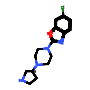 Clc1ccc2nc(N3CCN([C@H]4CCNC4)CC3)oc2c1